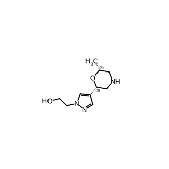 C[C@@H]1CNC[C@H](c2cnn(CCO)c2)O1